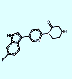 O=C1CNCCN1c1ccc(-c2c[nH]c3cc(F)ccc23)cn1